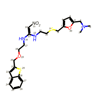 CN(C)Cc1ccc(CSCCNC(=C[N+](=O)[O-])NCCOCc2cc3ccccc3s2)o1